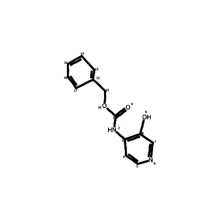 O=C(Nc1ccncc1O)OCc1ccccc1